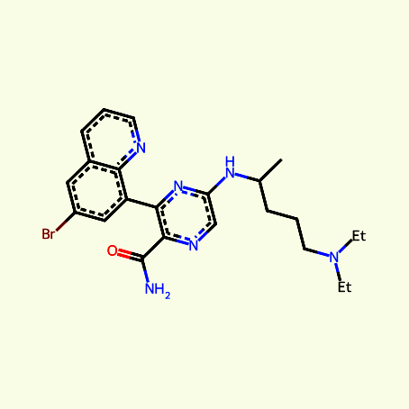 CCN(CC)CCCC(C)Nc1cnc(C(N)=O)c(-c2cc(Br)cc3cccnc23)n1